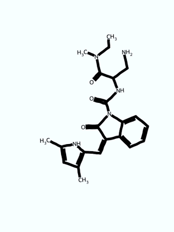 CCN(C)C(=O)C(CN)NC(=O)N1C(=O)/C(=C\c2[nH]c(C)cc2C)c2ccccc21